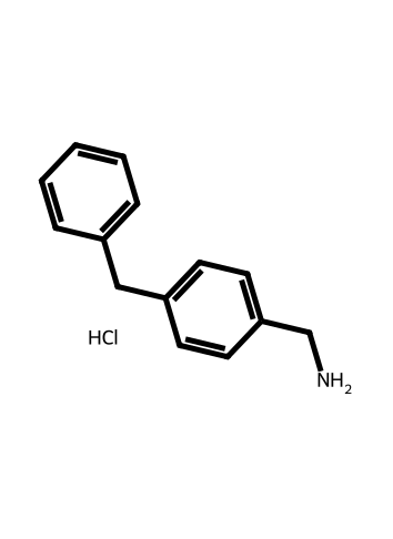 Cl.NCc1ccc(Cc2ccccc2)cc1